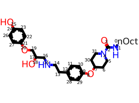 CCCCCCCCNC(=O)N1CCC(Oc2ccc(CCNCC(O)COc3ccc(O)cc3)cc2)CC1